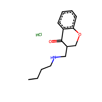 CCCCNCC1COc2ccccc2C1=O.Cl